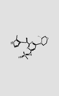 C=C(c1nc(N=S(C)(C)=N)cc(N2CCOC[C@H]2C)n1)c1cc[nH]c1C